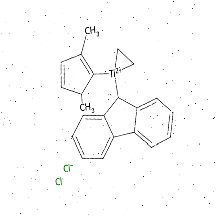 CC1=[C]([Ti+2]2([CH]3c4ccccc4-c4ccccc43)[CH2][CH2]2)C(C)C=C1.[Cl-].[Cl-]